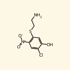 NCCSc1cc(O)c(Cl)cc1[N+](=O)[O-]